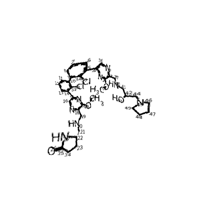 COc1nc(-c2cccc(-c3cccc(-c4cnc(CNC[C@@H]5CCC(=O)N5)c(OC)n4)c3Cl)c2Cl)cnc1CNCC(O)CN1CCCC1